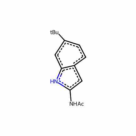 CC(=O)Nc1cc2ccc(C(C)(C)C)cc2[nH]1